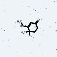 CNC1=CC(=O)CCC1(C)C